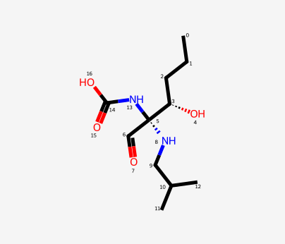 CCC[C@H](O)[C@](C=O)(NCC(C)C)NC(=O)O